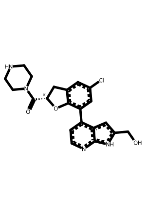 O=C([C@@H]1Cc2cc(Cl)cc(-c3ccnc4[nH]c(CO)cc34)c2O1)N1CCNCC1